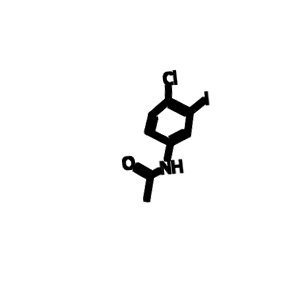 CC(=O)Nc1ccc(Cl)c(I)c1